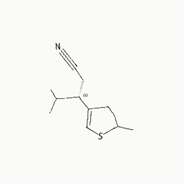 CC1CC([C@@H](CC#N)C(C)C)=CS1